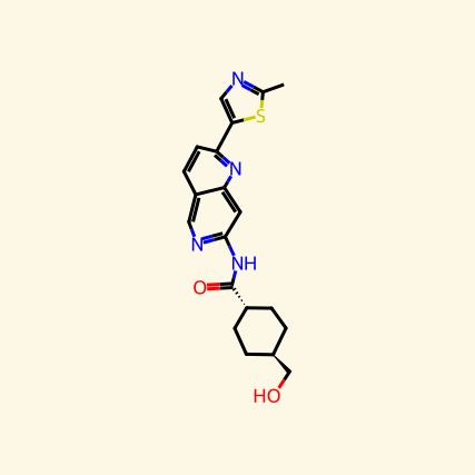 Cc1ncc(-c2ccc3cnc(NC(=O)[C@H]4CC[C@H](CO)CC4)cc3n2)s1